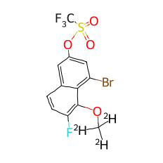 [2H]C([2H])([2H])Oc1c(F)ccc2cc(OS(=O)(=O)C(F)(F)F)cc(Br)c12